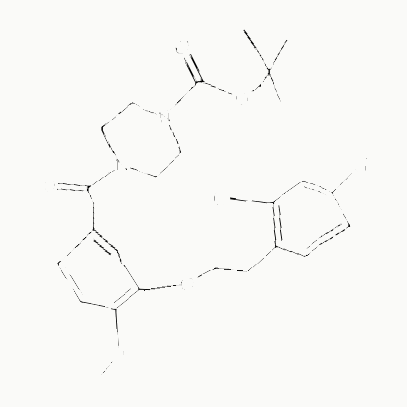 COc1ccc(C(=O)N2CCN(C(=O)OC(C)(C)C)CC2)cc1OCCc1ccc(Cl)cc1Cl